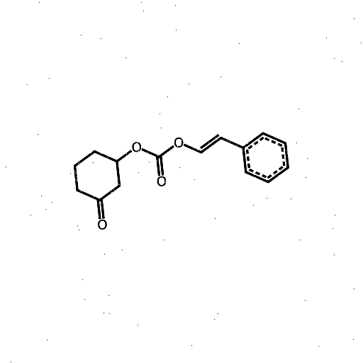 O=C1CCCC(OC(=O)OC=Cc2ccccc2)C1